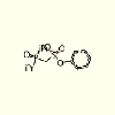 CC(C)P(=O)(CS(=O)(=O)Oc1ccccc1)C(C)C